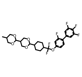 CC1COC(C2COC(C3CCC(C(F)(F)Oc4ccc(-c5cc(F)c(F)c(F)c5)c(F)c4)CC3)OC2)OC1